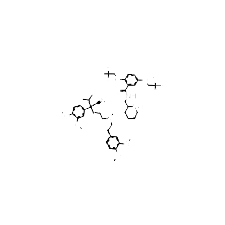 COc1ccc(CCN(C)CCCC(C#N)(c2ccc(OC)c(OC)c2)C(C)C)cc1OC.O=C(NCC1CCCCN1)c1cc(OCC(F)(F)F)ccc1OCC(F)(F)F